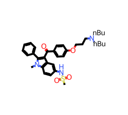 CCCCN(CCCC)CCCOc1ccc(C(=O)c2c(-c3ccccc3)n(C)c3ccc(NS(C)(=O)=O)cc23)cc1